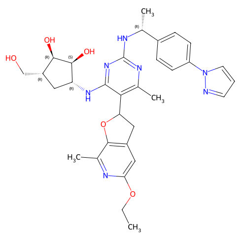 CCOc1cc2c(c(C)n1)OC(c1c(C)nc(N[C@H](C)c3ccc(-n4cccn4)cc3)nc1N[C@@H]1C[C@H](CO)[C@@H](O)[C@H]1O)C2